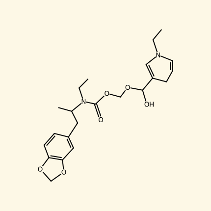 CCN1C=CCC(C(O)OCOC(=O)N(CC)C(C)Cc2ccc3c(c2)OCO3)=C1